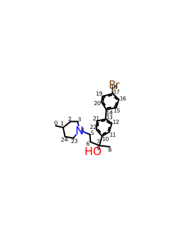 CC1CCN(CCC(C)(O)c2ccc(-c3ccc(Br)cc3)cc2)CC1